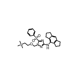 C[Si](C)(C)CCOCn1nc(Nc2c3c(cc4c2CCC4)CCC3)nc1S(=O)(=O)c1ccccc1